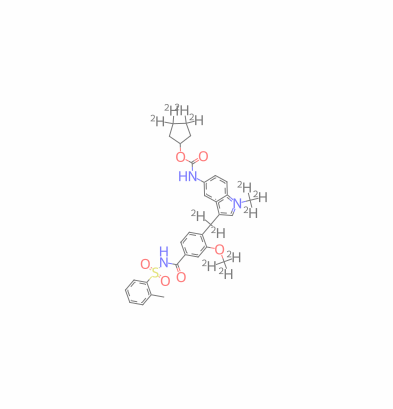 [2H]C([2H])([2H])Oc1cc(C(=O)NS(=O)(=O)c2ccccc2C)ccc1C([2H])([2H])c1cn(C([2H])([2H])[2H])c2ccc(NC(=O)OC3CC([2H])([2H])C([2H])([2H])C3)cc12